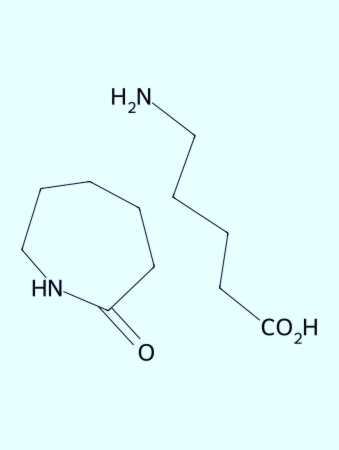 NCCCCC(=O)O.O=C1CCCCCN1